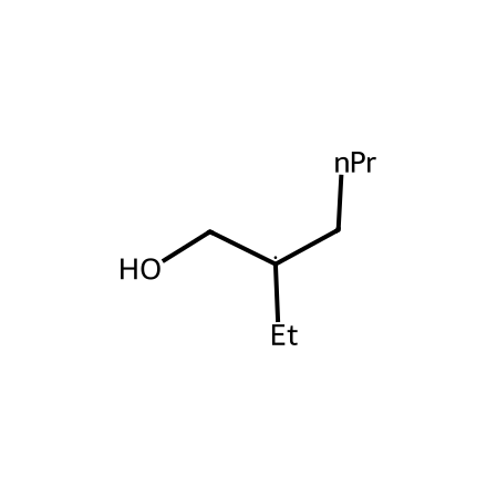 CCCC[C](CC)CO